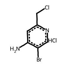 Cl.Nc1cc(CCl)ncc1Br